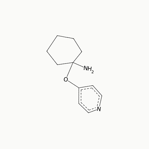 NC1(Oc2ccncc2)CCCCC1